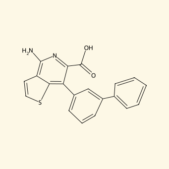 Nc1nc(C(=O)O)c(-c2cccc(-c3ccccc3)c2)c2sccc12